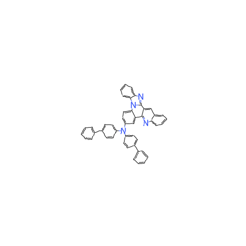 c1ccc(-c2ccc(N(c3ccc(-c4ccccc4)cc3)c3ccc4c(c3)c3nc5ccccc5cc3c3nc5ccccc5n43)cc2)cc1